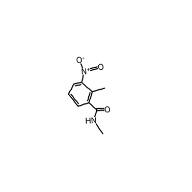 CNC(=O)c1cccc([N+](=O)[O-])c1C